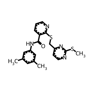 CSc1nccc(CSc2ncccc2C(=O)Nc2cc(C)cc(C)c2)n1